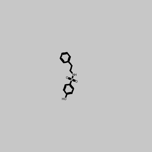 O=S(=O)(NCCc1ccccc1)c1ccc(O)cc1